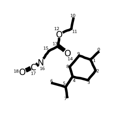 CC1CCC(C(C)C)CC1.CCOC(=O)CN=C=O